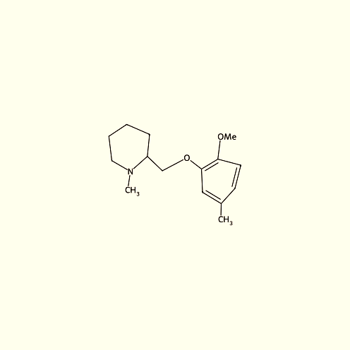 COc1ccc(C)cc1OCC1CCCCN1C